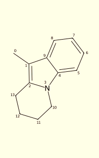 Cc1c2n(c3ccccc13)CCCC2